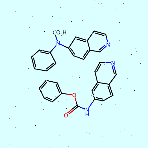 O=C(Nc1ccc2cnccc2c1)Oc1ccccc1.O=C(O)N(c1ccccc1)c1ccc2cnccc2c1